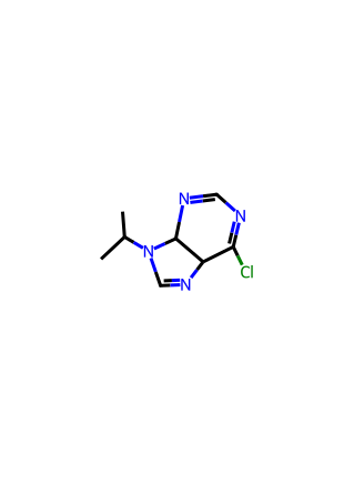 CC(C)N1C=NC2C(Cl)=NC=NC21